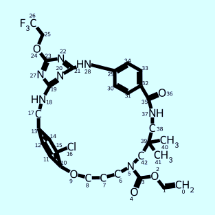 C=COC(=O)N1CCCOc2ccc(cc2Cl)CNc2nc(nc(OCC(F)(F)F)n2)Nc2ccc(cc2)C(=O)NCC(C)(C)C1